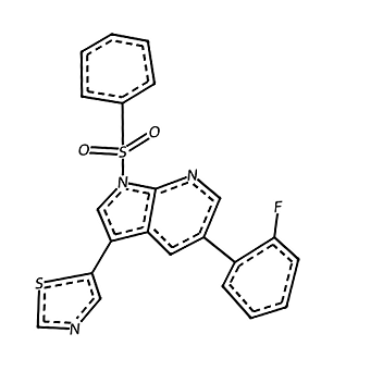 O=S(=O)(c1ccccc1)n1cc(-c2cncs2)c2cc(-c3ccccc3F)cnc21